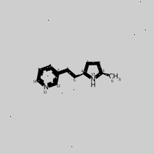 C[C@@H]1CC[C@H](CCc2cccnc2)N1